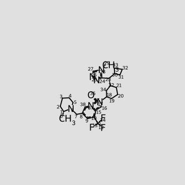 C[C@H]1CCCCN1Cc1cc(C(F)(F)F)c2cn(C3CCCC([C@@H](c4nncn4C)C4CCC4)C3)c(=O)n2c1